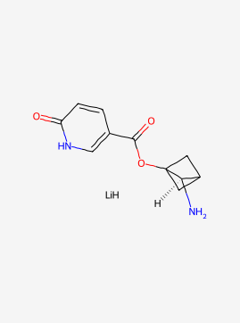 N[C@@H]1C2CC1(OC(=O)c1ccc(=O)[nH]c1)C2.[LiH]